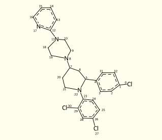 Clc1ccc(C2CC(N3CCN(c4ccccn4)CC3)CCN2c2ccc(Cl)cc2Cl)cc1